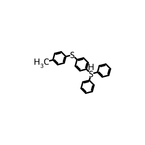 Cc1ccc(Sc2ccc([SH](c3ccccc3)c3ccccc3)cc2)cc1